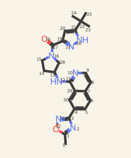 Cc1nc(-c2ccc3ccnc(NC4CCN(C(=O)c5cc(C(C)(C)C)[nH]n5)C4)c3c2)no1